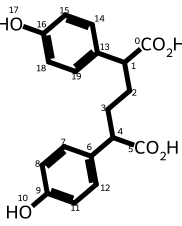 O=C(O)C(CCC(C(=O)O)c1ccc(O)cc1)c1ccc(O)cc1